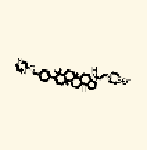 CC1(C)C(C2=CCC(COc3cnccn3)CC2)=CCC2(C)C1CCC1(C)C3CCC4(NCCN5CC[S+]([O-])CC5)CCC[C@@H]4C3CCC12